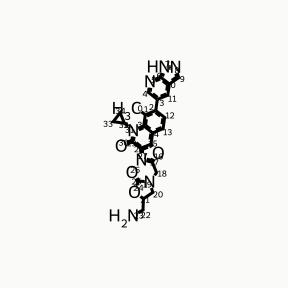 Cc1c(-c2cnc3[nH]ncc3c2)ccc2c3oc(CN4CC(CN)OC4=O)nc3c(=O)n(C3CC3)c12